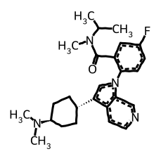 CC(C)N(C)C(=O)c1cc(F)ccc1-n1cc([C@H]2CC[C@H](N(C)C)CC2)c2ccncc21